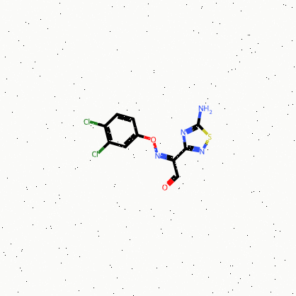 Nc1nc(/C([C]=O)=N\Oc2ccc(Cl)c(Cl)c2)ns1